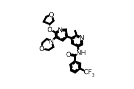 Cc1ncc(NC(=O)c2cccc(C(F)(F)F)c2)cc1-c1cnc(O[C@@H]2CCOC2)c(N2CCOCC2)c1